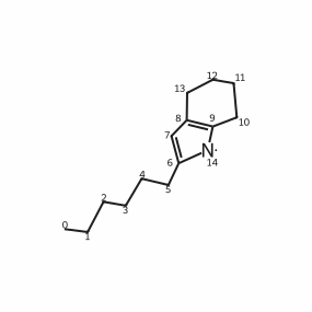 CCCCCCC1=CC2=C(CCCC2)[N]1